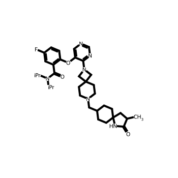 CC1CC2(CCC(CN3CCC4(CC3)CN(c3ncncc3Oc3ccc(F)cc3C(=O)N(C(C)C)C(C)C)C4)CC2)NC1=O